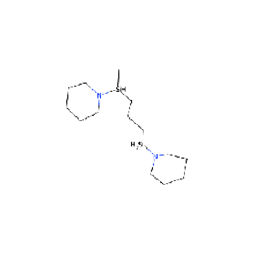 C[SiH](CCC[SiH2]N1CCCCC1)N1CCCCC1